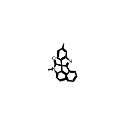 Cc1ccc2c(c1)N=C(c1ccccc1)C21C(=O)N(C)c2ccccc21